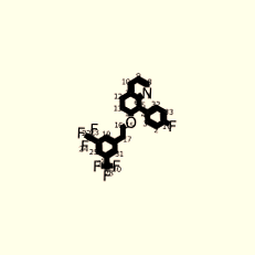 Fc1ccc(C2c3ncccc3CCC2OCCc2cc(C(F)(F)F)cc(C(F)(F)F)c2)cc1